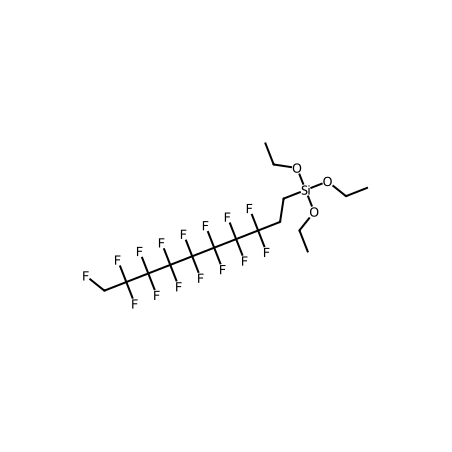 CCO[Si](CCC(F)(F)C(F)(F)C(F)(F)C(F)(F)C(F)(F)C(F)(F)C(F)(F)CF)(OCC)OCC